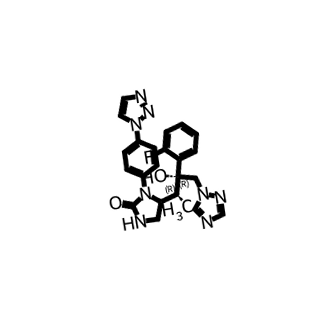 C[C@H](C1CNC(=O)N1c1ccc(-n2ccnn2)cc1)[C@](O)(Cn1cncn1)c1ccccc1F